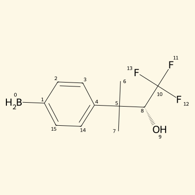 Bc1ccc(C(C)(C)[C@@H](O)C(F)(F)F)cc1